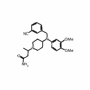 COc1ccc(N(Cc2cccc(C#N)c2)C2CCN(C(C)CC(N)=O)CC2)cc1OC